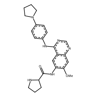 COc1cc2ncnc(Nc3ccc(N4CCCC4)cc3)c2cc1NC(=O)C1CCCN1